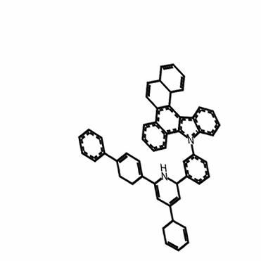 C1=CCC(C2=CC(c3cccc(-n4c5ccccc5c5c6c(c7ccccc7c54)C=CC4C=CC=CC64)c3)NC(C3=CC=C(c4ccccc4)CC3)=C2)C=C1